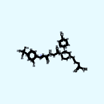 O=C(O)CCCN1CCN(C(=O)CNC(=O)/C=C/c2ccc(C(F)(F)F)cc2F)[C@H](c2ccc(Cl)cc2)C1